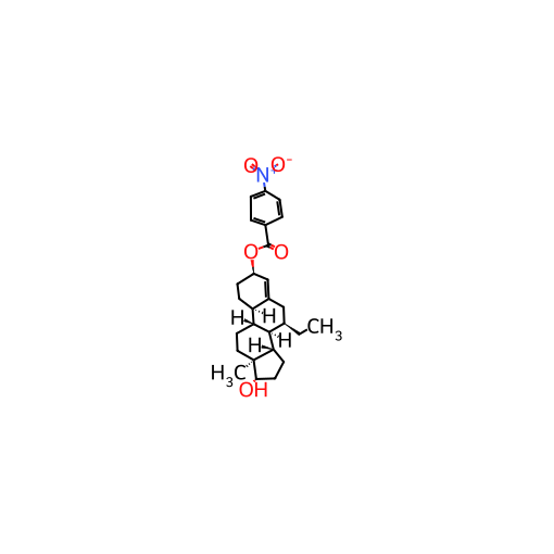 CC[C@@H]1CC2=C[C@H](OC(=O)c3ccc([N+](=O)[O-])cc3)CC[C@@H]2[C@H]2CC[C@]3(C)[C@@H](O)CC[C@H]3[C@H]12